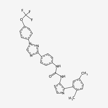 Cc1ccc(C)c(-c2ncsc2NC(=O)Nc2ccc(-c3ncn(-c4ccc(OC(F)(F)F)cc4)n3)cc2)c1